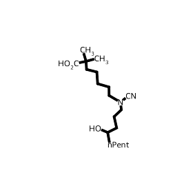 CCCCCC(O)CCCN(C#N)CCCCCC(C)(C)C(=O)O